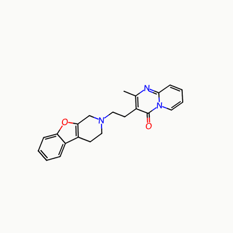 Cc1nc2ccccn2c(=O)c1CCN1CCc2c(oc3ccccc23)C1